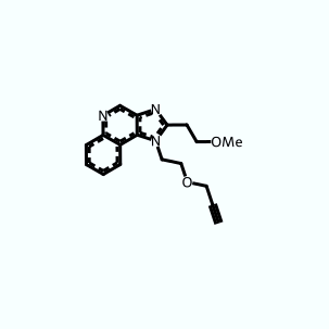 C#CCOCCn1c(CCOC)nc2cnc3ccccc3c21